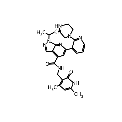 Cc1cc(C)c(CNC(=O)c2cc(-c3cccnc3N3CCNCC3)nc3c2cnn3C(C)C)c(=O)[nH]1